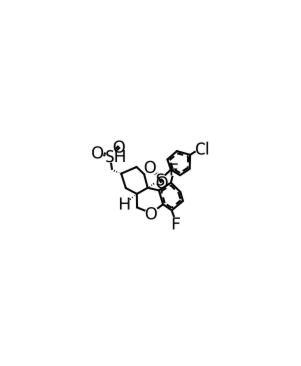 O=[SH](=O)C[C@@H]1CC[C@@]2(S(=O)(=O)c3ccc(Cl)cc3)c3c(F)ccc(F)c3OC[C@H]2C1